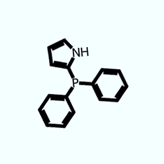 c1ccc(P(c2ccccc2)c2ccc[nH]2)cc1